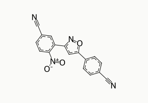 N#Cc1ccc(-c2cc(-c3cc(C#N)ccc3[N+](=O)[O-])no2)cc1